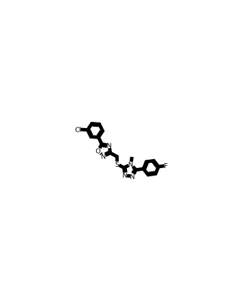 Cn1c(SCc2noc(-c3cccc(Cl)c3)n2)nnc1-c1ccc(F)cc1